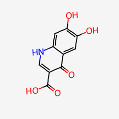 O=C(O)c1c[nH]c2cc(O)c(O)cc2c1=O